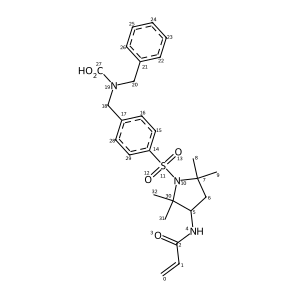 C=CC(=O)NC1CC(C)(C)N(S(=O)(=O)c2ccc(CN(Cc3ccccc3)C(=O)O)cc2)C1(C)C